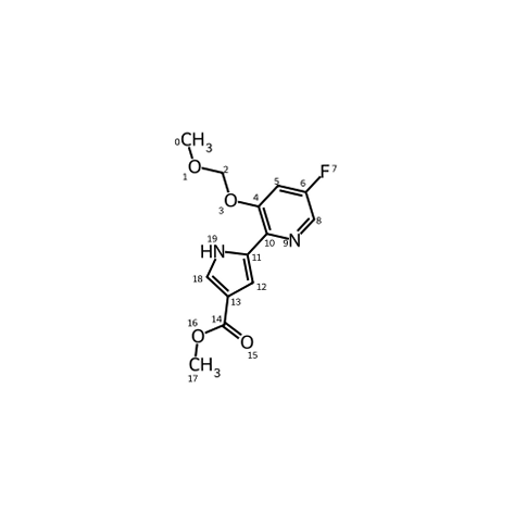 COCOc1cc(F)cnc1-c1cc(C(=O)OC)c[nH]1